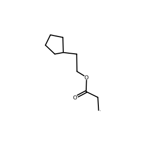 [CH2]CC(=O)OCCC1CCCC1